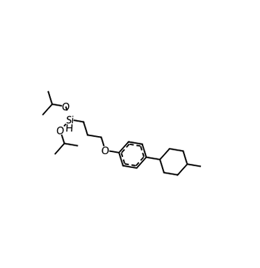 CC1CCC(c2ccc(OCCC[SiH](OC(C)C)OC(C)C)cc2)CC1